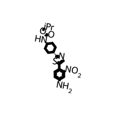 CC(C)OC(=O)N[C@H]1CC[C@H](c2ncc(-c3ccc(N)cc3[N+](=O)[O-])s2)CC1